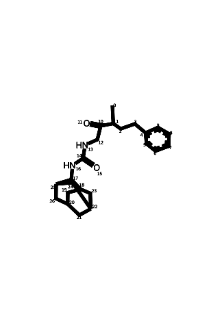 CC(CCc1ccccc1)C(=O)CNC(=O)NC1C2CC3CC(C2)CC1C3